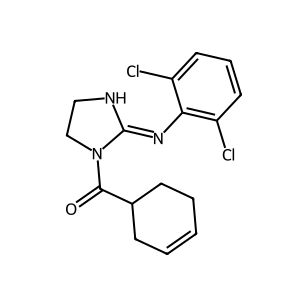 O=C(C1CC=CCC1)N1CCNC1=Nc1c(Cl)cccc1Cl